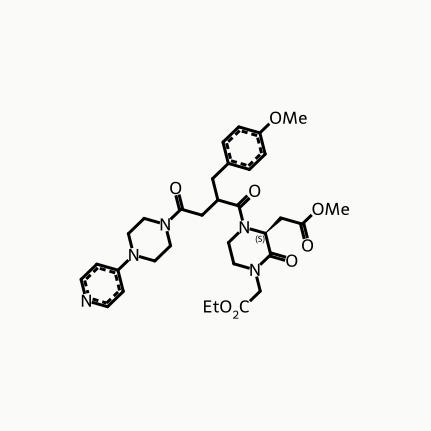 CCOC(=O)CN1CCN(C(=O)C(CC(=O)N2CCN(c3ccncc3)CC2)Cc2ccc(OC)cc2)[C@@H](CC(=O)OC)C1=O